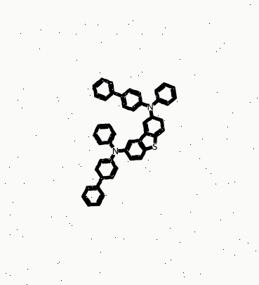 C1=CC(c2ccccc2)CC=C1N(c1ccccc1)c1ccc2sc3c(c2c1)=CC(N(c1ccccc1)c1ccc(-c2ccccc2)cc1)CC=3